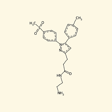 Cc1ccc(-c2cc(CCC(=O)NCCN)nn2-c2ccc(S(C)(=O)=O)cc2)cc1